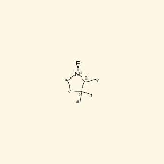 [CH2]C1N(F)CCC1(C)C